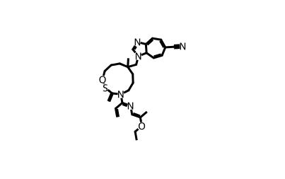 C=C/C(=N\C=C(/C)OCC)N1CCCC(C)(CN2C=NC3=CC=C(C#N)C=CC32)CCCOSC1=C